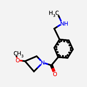 CNCc1cccc(C(=O)N2CC(OC)C2)c1